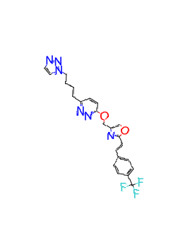 FC(F)(F)c1ccc(C=Cc2nc(COc3ccc(CCCCn4ccnn4)nn3)co2)cc1